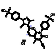 CC1=NN(c2ccc(S(=O)(=O)O)cc2)C(=O)/C1=C\C=C/c1c(C)c(C#N)c(=O)n(-c2ccc(S(=O)(=O)O)cc2)c1O.[KH].[KH]